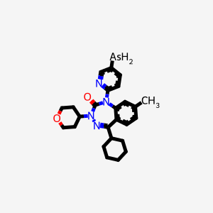 Cc1ccc2c(c1)N(c1ccc([AsH2])cn1)C(=O)N(C1CCOCC1)N=C2C1CCCCC1